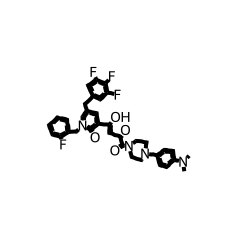 CN(C)c1ccc(N2CCN(C(=O)C(=O)C=C(O)c3cc(Cc4cc(F)c(F)c(F)c4)cn(Cc4ccccc4F)c3=O)CC2)cc1